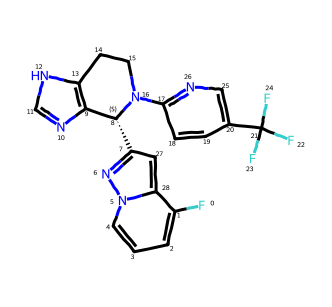 Fc1cccn2nc([C@@H]3c4nc[nH]c4CCN3c3ccc(C(F)(F)F)cn3)cc12